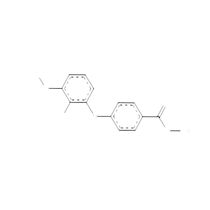 COC(=O)c1ccc(Nc2cccc(OC)c2C)cc1